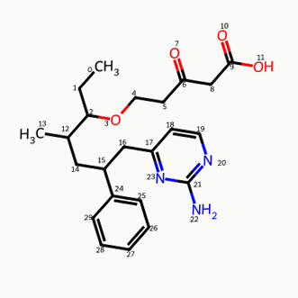 CCC(OCCC(=O)CC(=O)O)C(C)CC(Cc1ccnc(N)n1)c1ccccc1